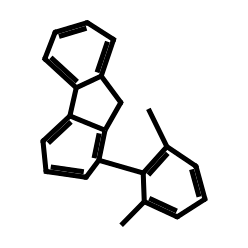 Cc1cccc(C)c1-c1cccc2c1Cc1ccccc1-2